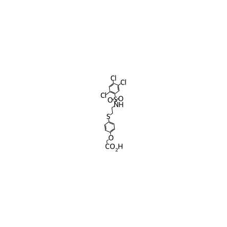 O=C(O)COc1ccc(SCCNS(=O)(=O)c2cc(Cl)c(Cl)cc2Cl)cc1